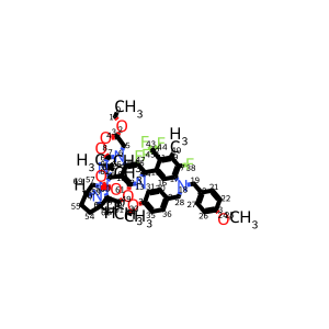 CCOC(=O)Cn1c(=O)nc2c3c(nc(-c4cc(N(Cc5ccc(OC)cc5)Cc5ccc(OC)cc5)c(F)c(C)c4C(F)(F)F)c(F)c31)O[C@@H](C)[C@@H]1[C@@H]3CC[C@H](CN21)N3C(=O)OC(C)(C)C